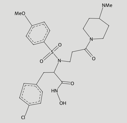 CNC1CCN(C(=O)CCN(C(Cc2ccc(Cl)cc2)C(=O)NO)S(=O)(=O)c2ccc(OC)cc2)CC1